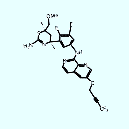 COC[C@@]1(C)C[C@@](C)(c2cc(Nc3nccc4cc(OCC#CC(F)(F)F)cnc34)cc(F)c2F)N=C(N)S1